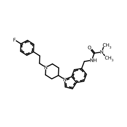 CN(C)C(=O)NCc1ccc2ccn(C3CCN(CCc4ccc(F)cc4)CC3)c2c1